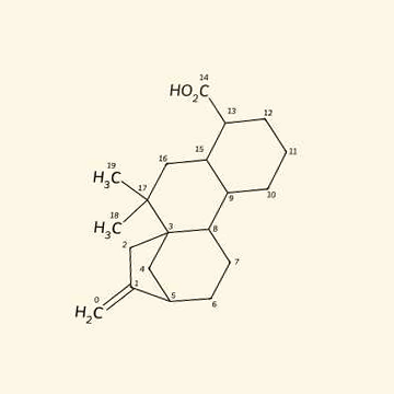 C=C1CC23CC1CCC2C1CCCC(C(=O)O)C1CC3(C)C